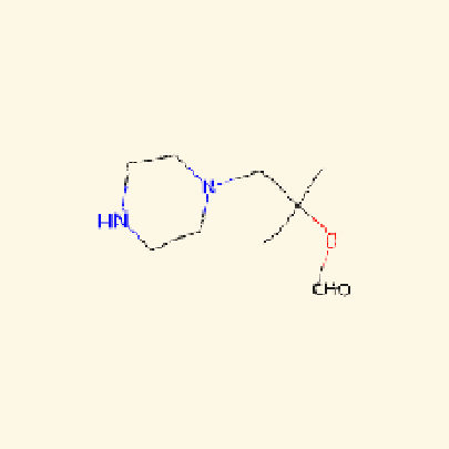 CC(C)(CN1CCNCC1)OC=O